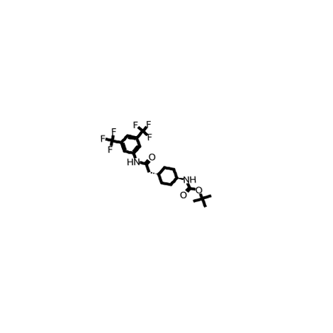 CC(C)(C)OC(=O)N[C@H]1CC[C@H](CC(=O)Nc2cc(C(F)(F)F)cc(C(F)(F)F)c2)CC1